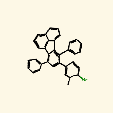 CC1C=C(c2cc(-c3ccccc3)c3c(c2-c2ccccc2)-c2cccc4cccc-3c24)C=CC1Br